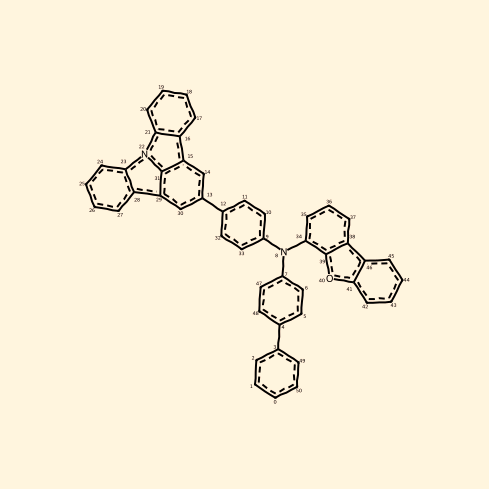 c1ccc(-c2ccc(N(c3ccc(-c4cc5c6ccccc6n6c7ccccc7c(c4)c56)cc3)c3cccc4c3oc3ccccc34)cc2)cc1